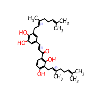 CC(C)=CCC/C(C)=C/Cc1cc(/C=C/C(=O)c2ccc(O)c(C/C=C(\C)CCC=C(C)C)c2O)cc(O)c1O